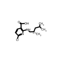 CC(C)C[C@H](C)CNc1nc(Cl)ccc1C(=O)O